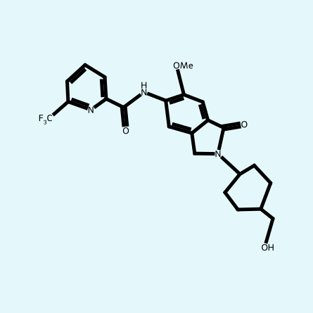 COc1cc2c(cc1NC(=O)c1cccc(C(F)(F)F)n1)CN(C1CCC(CO)CC1)C2=O